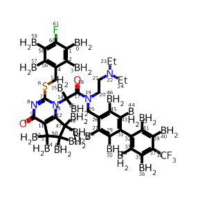 Bc1c(B)c(CSc2nc(=O)c3c(n2C(B)(B)C(=O)N(CCN(CC)CC)Cc2c(B)c(B)c(-c4c(B)c(B)c(C(F)(F)F)c(B)c4B)c(B)c2B)C(B)(B)C(B)(B)C3(B)B)c(B)c(B)c1F